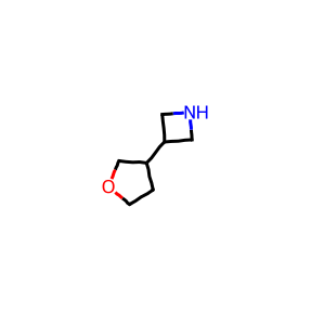 C1CC(C2CNC2)CO1